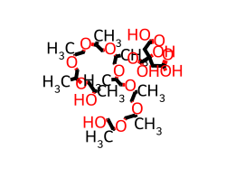 CC(O)COC(C)COC(C)COC(C)COC(C)COC(C)COC(C)COC(C)COC(C)CO.O=C(O)CC(O)(CC(=O)O)C(=O)O